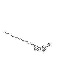 CCCCCCCCCCCCCCCCCCCCOC[C@H](O)COP(=O)([O-])OCC[N+](C)(C)C